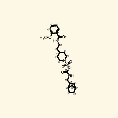 COc1ncccc1C(=O)NCCC1CCN(S(=O)(=O)NC(=O)NCC2CC3CCC2C3)CC1